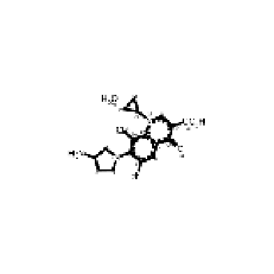 NC1CCN(c2c(F)cc3c(=O)c(C(=O)O)cn(C4CC4)c3c2Cl)C1.O